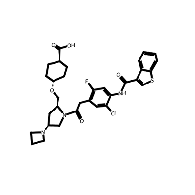 O=C(Nc1cc(F)c(CC(=O)N2C[C@@H](N3CCC3)C[C@H]2CO[C@H]2CC[C@H](C(=O)O)CC2)cc1Cl)c1csc2ccccc12